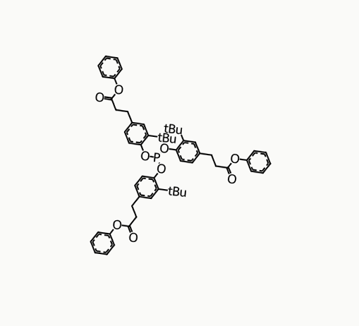 CC(C)(C)c1cc(CCC(=O)Oc2ccccc2)ccc1OP(Oc1ccc(CCC(=O)Oc2ccccc2)cc1C(C)(C)C)Oc1ccc(CCC(=O)Oc2ccccc2)cc1C(C)(C)C